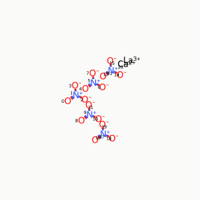 O=[N+]([O-])[O-].O=[N+]([O-])[O-].O=[N+]([O-])[O-].O=[N+]([O-])[O-].O=[N+]([O-])[O-].[Ca+2].[La+3]